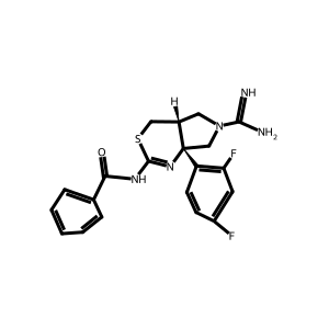 N=C(N)N1C[C@H]2CSC(NC(=O)c3ccccc3)=N[C@@]2(c2ccc(F)cc2F)C1